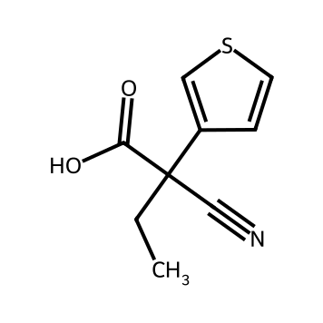 CCC(C#N)(C(=O)O)c1ccsc1